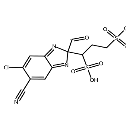 N#Cc1cc2c(cc1Cl)=NC([C]=O)(C(CCS(=O)(=O)O)S(=O)(=O)O)N=2